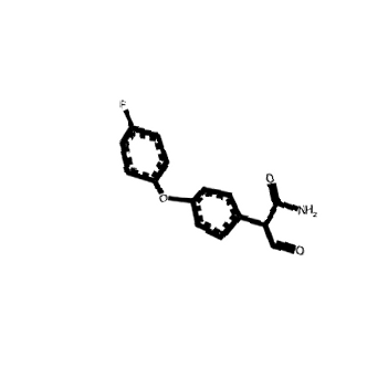 NC(=O)C(C=O)c1ccc(Oc2ccc(F)cc2)cc1